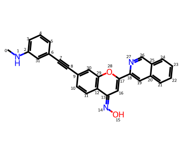 CNc1cccc(C#Cc2ccc3c(=NO)cc(-c4cc5ccccc5cn4)oc3c2)c1